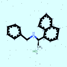 C[C@@H](NCc1ccccc1)c1cccc2ccccc12.Cl